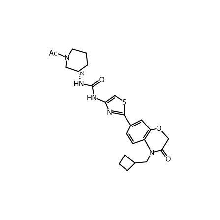 CC(=O)N1CCC[C@H](NC(=O)Nc2csc(-c3ccc4c(c3)OCC(=O)N4CC3CCC3)n2)C1